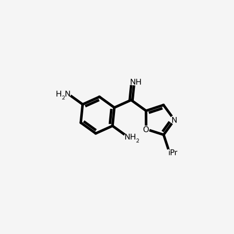 CC(C)c1ncc(C(=N)c2cc(N)ccc2N)o1